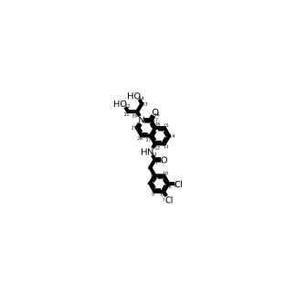 O=C(Cc1ccc(Cl)c(Cl)c1)Nc1cccc2c(=O)n(C(CO)CO)ccc12